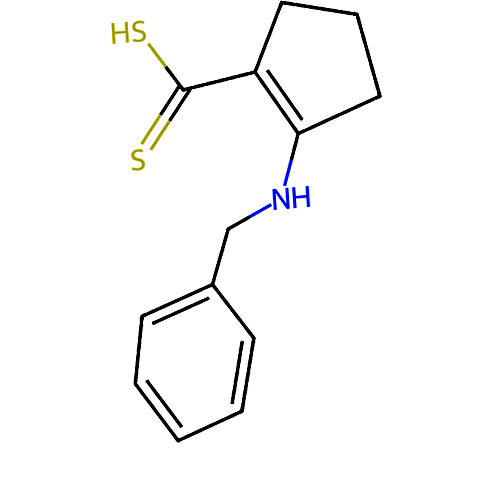 S=C(S)C1=C(NCc2ccccc2)CCC1